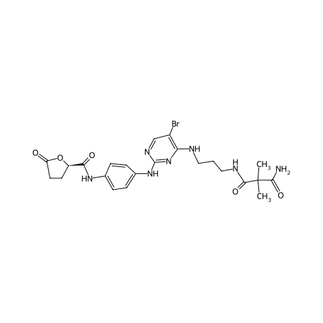 CC(C)(C(N)=O)C(=O)NCCCNc1nc(Nc2ccc(NC(=O)[C@H]3CCC(=O)O3)cc2)ncc1Br